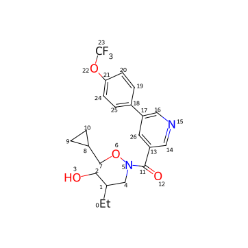 CCC(CO)CN(OCC1CC1)C(=O)c1cncc(-c2ccc(OC(F)(F)F)cc2)c1